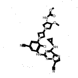 COC(=O)N[C@H]1CN(C2CN(c3cc(C#N)cc(Nc4nc(NC5CC5)c5ncc(C#N)n5n4)c3Cl)C2)C[C@@H]1OC